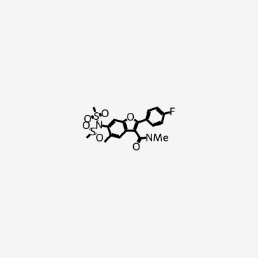 CNC(=O)c1c(-c2ccc(F)cc2)oc2cc(N(S(C)(=O)=O)S(C)(=O)=O)c(C)cc12